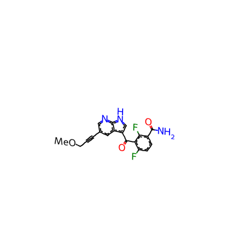 COCC#Cc1cnc2[nH]cc(C(=O)c3c(F)ccc(C(N)=O)c3F)c2c1